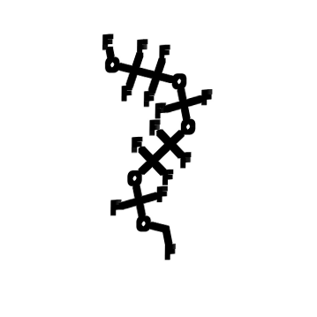 FCOC(F)(F)OC(F)(F)C(F)(F)OC(F)(F)OC(F)(F)C(F)(F)OF